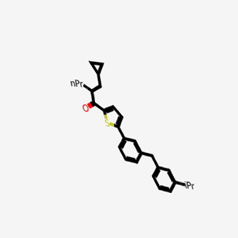 CCCC(CC1CC1)C(=O)c1ccc(-c2cccc(Cc3cccc(C(C)C)c3)c2)s1